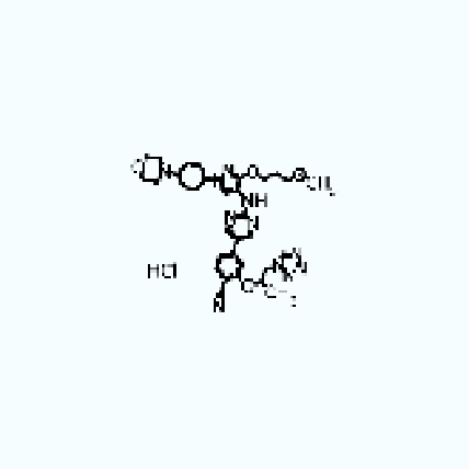 COCCCOc1nn(C2CCC(N3CCOCC3)CC2)cc1Nc1ncc(-c2ccc(C#N)c(OC(C)Cn3cnnn3)c2)cn1.Cl